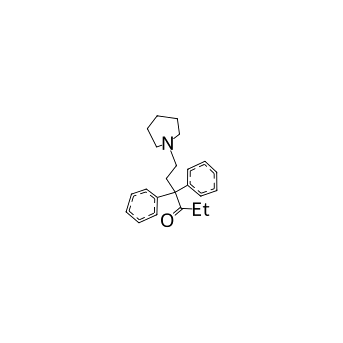 CCC(=O)C(CCN1CCCCC1)(c1ccccc1)c1ccccc1